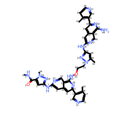 CNC(=O)c1cc(Nc2cc3cc(-c4cnccc4C)nc(NOCCn4nc(Nc5cc6cc(-c7cnccc7C)nc(N)c6cn5)cc4C)c3cn2)nn1C